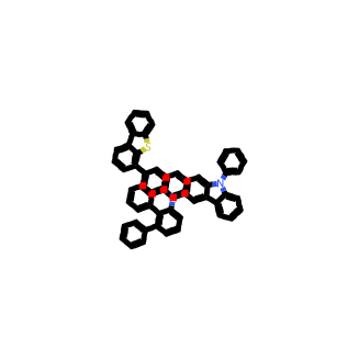 c1ccc(-c2ccccc2-c2c(-c3ccccc3)cccc2N(c2ccc(-c3cccc4c3sc3ccccc34)cc2)c2ccc3c(c2)c2ccccc2n3-c2ccccc2)cc1